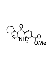 COC(=O)c1ccc(C(=O)c2c(N)sc3c2CCCC3)cc1